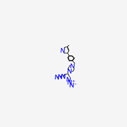 CC1=CC(c2ccc(CN3CCN(C(CN=[N+]=[N-])CN=[N+]=[N-])CC3)cc2)CN=C1